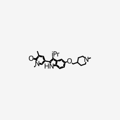 Cc1cc(-c2[nH]c3ccc(OCC4CCN(C)CC4)cc3c2C(C)C)cn(C)c1=O